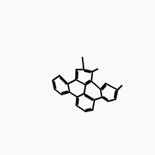 Cc1ccc2c(c1)c1c(C)c(C)cc3c4ccccc4c4cccc2c4c31